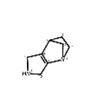 C1NCC2=C1C1CCN2C1